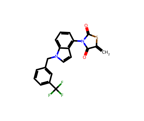 C=C1SC(=O)N(c2cccc3c2ccn3Cc2cccc(C(F)(F)F)c2)C1=O